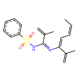 C=C(C)C(=C\C=C/C)/N=C(/NS(=O)(=O)c1ccccc1)C(=C)C